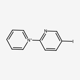 Ic1ccc(-[n+]2ccccc2)nc1